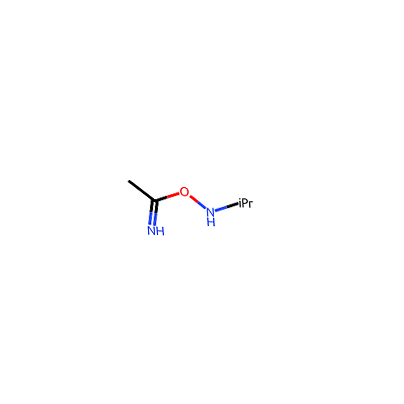 CC(=N)ONC(C)C